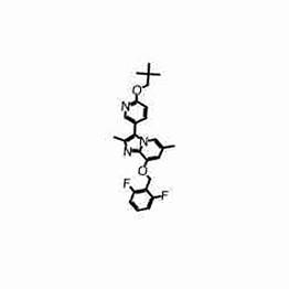 Cc1cc(OCc2c(F)cccc2F)c2nc(C)c(-c3ccc(OCC(C)(C)C)nc3)n2c1